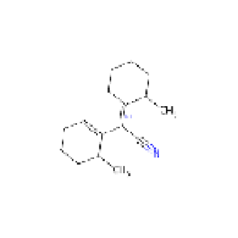 CC1CCCC=C1/C(C#N)=C1\CCCCC1C